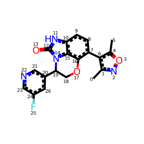 Cc1noc(C)c1-c1ccc2[nH]c(=O)n3c2c1OCC3c1cncc(F)c1